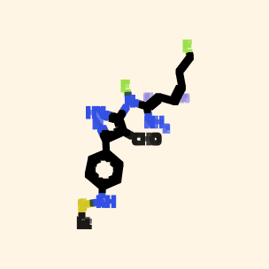 CCSNc1ccc(-c2n[nH]c(N(F)/C(N)=C/C=C\CCF)c2C=O)cc1